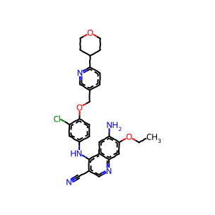 CCOc1cc2ncc(C#N)c(Nc3ccc(OCc4ccc(C5CCOCC5)nc4)c(Cl)c3)c2cc1N